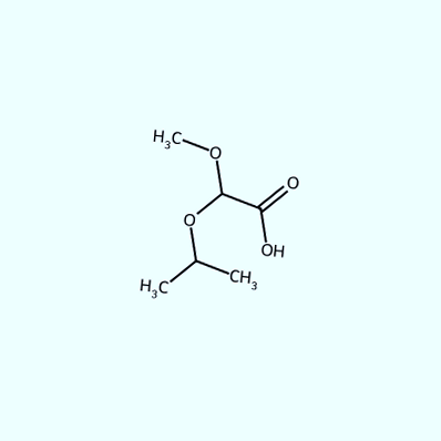 COC(OC(C)C)C(=O)O